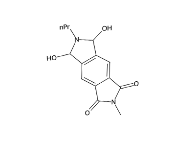 CCCN1C(O)c2cc3c(cc2C1O)C(=O)N(C)C3=O